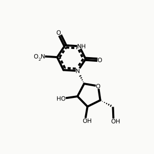 O=c1[nH]c(=O)n([C@@H]2O[C@H](CO)C(O)C2O)cc1[N+](=O)[O-]